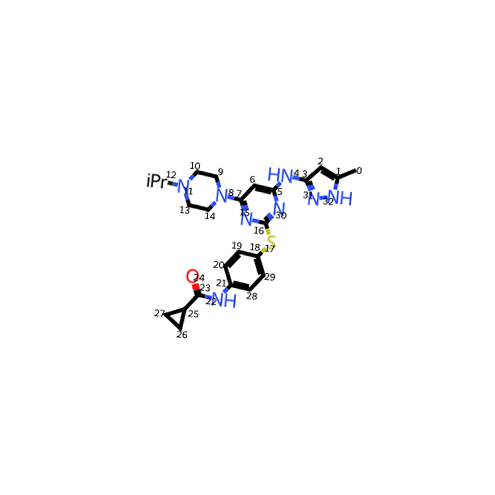 Cc1cc(Nc2cc(N3CCN(C(C)C)CC3)nc(Sc3ccc(NC(=O)C4CC4)cc3)n2)n[nH]1